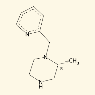 C[C@@H]1CNCCN1Cc1ccccn1